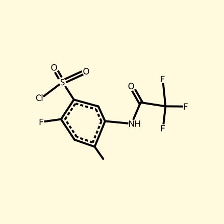 Cc1cc(F)c(S(=O)(=O)Cl)cc1NC(=O)C(F)(F)F